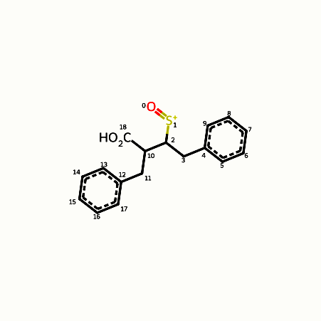 O=[S+]C(Cc1ccccc1)C(Cc1ccccc1)C(=O)O